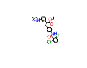 CCOC(=O)C(Cc1ccc(NC(=O)c2c(Cl)cccc2Cl)cc1)c1cccc(NCC(C)C)c1